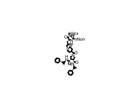 CCCCCCCCCC(=O)N[C@@H](Cc1cn2ccc(C(=O)N3C[C@@H](C(=O)N[C@H]4C[C@@H]4c4ccccc4)[C@H](C(=O)N[C@H]4C[C@@H]4c4ccccc4)C3)cc2n1)C(=O)NCCCCCC